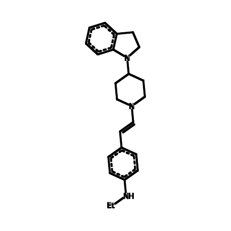 CCNc1ccc(C=CN2CCC(N3CCc4ccccc43)CC2)cc1